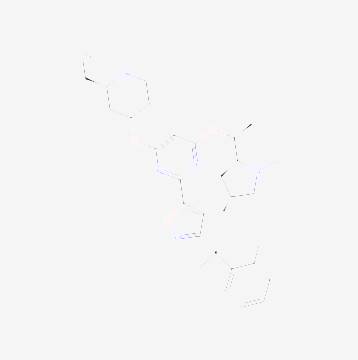 C[C@H](Oc1cc(O[C@H]2CCN[C@H](CC#N)C2)nc(-c2cc(C(C)(C)c3ccccc3F)no2)n1)[C@@H]1C[C@H](F)CN1C